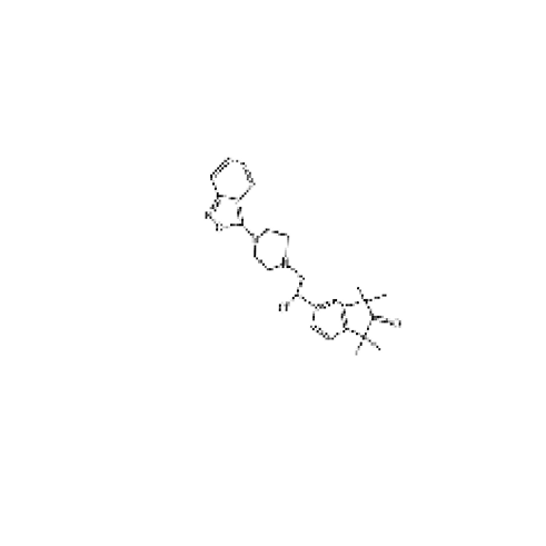 CC1(C)C(=O)C(C)(C)c2cc(C(Cl)CN3CCN(c4onc5ccccc45)CC3)ccc21